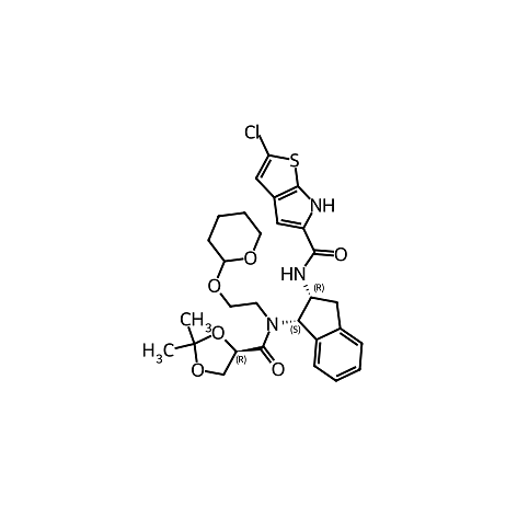 CC1(C)OC[C@H](C(=O)N(CCOC2CCCCO2)[C@H]2c3ccccc3C[C@H]2NC(=O)c2cc3cc(Cl)sc3[nH]2)O1